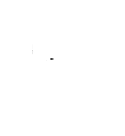 c1ccc2c(OC[C@H]3CCCN3)cccc2c1